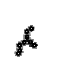 c1ccc(-c2cccc(-c3ccc(N(c4ccc(-c5cccc(-c6ccc7ccccc7c6)c5)cc4)c4ccc5c(c4)oc4ccccc45)cc3)c2)cc1